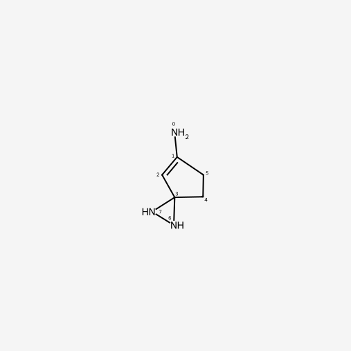 NC1=CC2(CC1)NN2